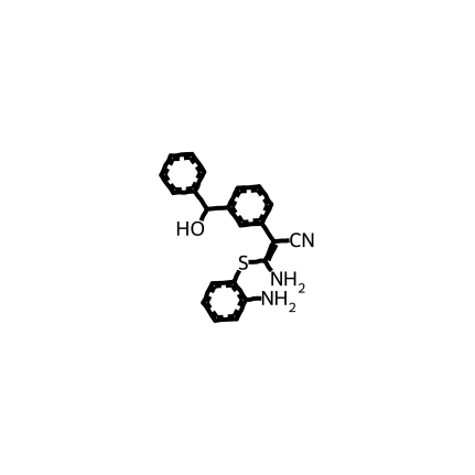 N#C/C(=C(\N)Sc1ccccc1N)c1cccc(C(O)c2ccccc2)c1